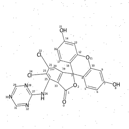 O=C1OC2(c3ccc(O)cc3Oc3cc(O)ccc32)c2cc(Cl)c(Cl)c(Nc3ncncn3)c21